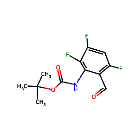 CC(C)(C)OC(=O)Nc1c(F)c(F)cc(F)c1C=O